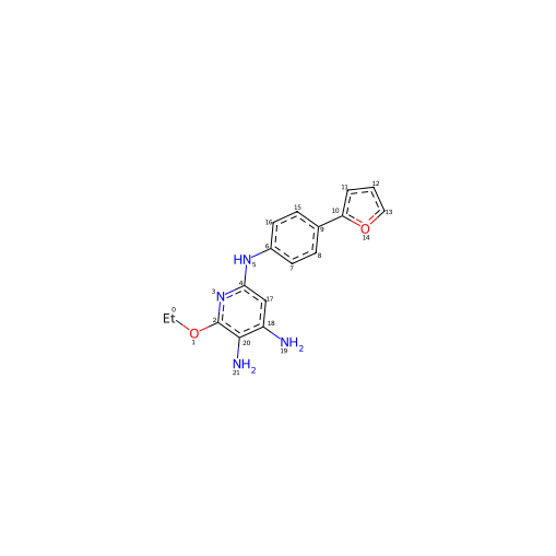 CCOc1nc(Nc2ccc(-c3ccco3)cc2)cc(N)c1N